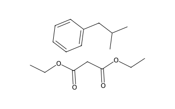 CC(C)Cc1ccccc1.CCOC(=O)CC(=O)OCC